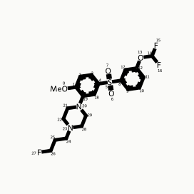 COc1ccc(S(=O)(=O)c2cccc(OC(F)F)c2)cc1N1CCN(CCCF)CC1